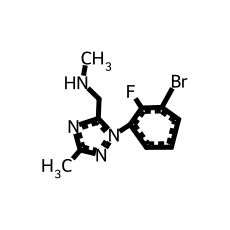 CNCc1nc(C)nn1-c1cccc(Br)c1F